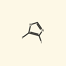 IC1=C(I)N=C[N]1